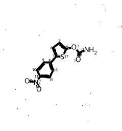 NC(=O)Oc1ccc(-c2ccc([N+](=O)[O-])cc2)s1